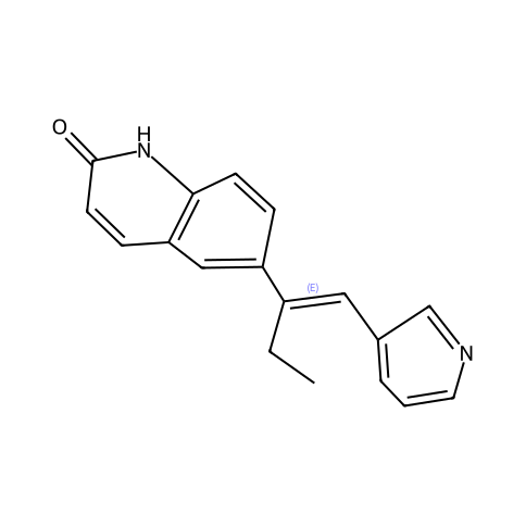 CC/C(=C\c1cccnc1)c1ccc2[nH]c(=O)ccc2c1